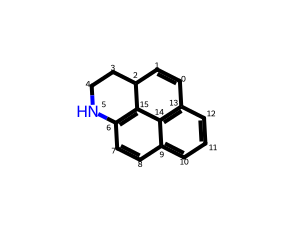 C1=CC2CCNc3ccc4cccc1c4c32